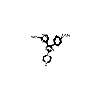 COc1ccc(-c2nc(N3CCNCC3)sc2-c2ccnc(SC)n2)cc1